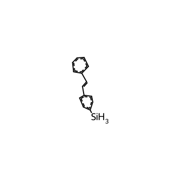 [SiH3]c1ccc(C=Cc2ccccc2)cc1